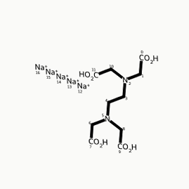 O=C(O)CN(CCN(CC(=O)O)CC(=O)O)CC(=O)O.[Na+].[Na+].[Na+].[Na+].[Na+]